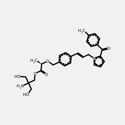 Cc1ccc(C(=O)c2cccn2C/C=C/c2ccc(CO[C@H](C)C(=O)OCC(N)(CO)CO)cc2)cc1